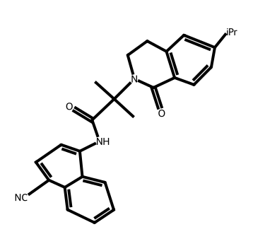 CC(C)c1ccc2c(c1)CCN(C(C)(C)C(=O)Nc1ccc(C#N)c3ccccc13)C2=O